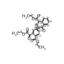 CCOC(=O)C(=O)c1ccccc1C(=O)OCC.CCOC(=O)c1n[nH]c(=O)c2ccccc12